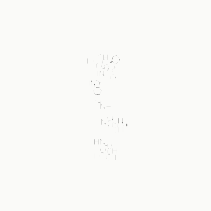 CC(C)(C)OC(=O)NCCCCN(CCCNC(=O)Oc1ccc2[nH]cc(CC(NC(=O)OC(C)(C)C)C(=O)OCc3ccccc3)c2c1)C(=O)OC(C)(C)C